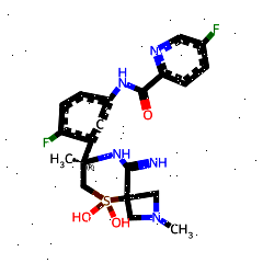 CN1CC2(C1)C(=N)N[C@](C)(c1cc(NC(=O)c3ccc(F)cn3)ccc1F)CS2(O)O